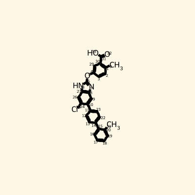 Cc1ccc(Oc2nc3cc(-c4ccc(-c5ccccc5C)cc4)c(Cl)cc3[nH]2)cc1C(=O)O